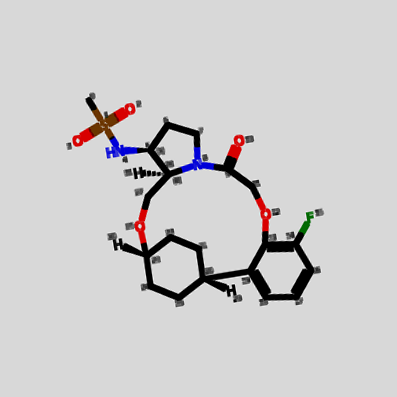 CS(=O)(=O)N[C@H]1CCN2C(=O)COc3c(F)cccc3[C@H]3CC[C@H](CC3)OC[C@@H]12